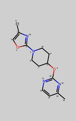 CCc1coc(N2CCC(Oc3nccc(C)n3)CC2)n1